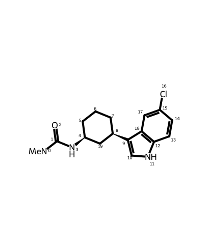 CNC(=O)N[C@H]1CCC[C@@H](c2c[nH]c3ccc(Cl)cc23)C1